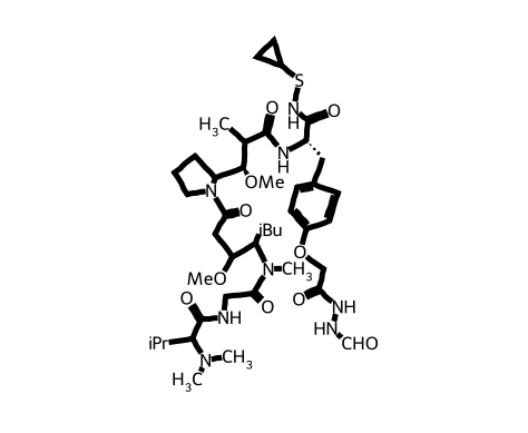 CCC(C)C(C(CC(=O)N1CCCC1[C@H](OC)C(C)C(=O)N[C@@H](Cc1ccc(OCC(=O)NNC=O)cc1)C(=O)NSC1CC1)OC)N(C)C(=O)CNC(=O)C(C(C)C)N(C)C